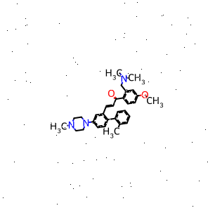 COc1ccc(C(=O)C=Cc2cc(N3CCN(C)CC3)ccc2-c2ccccc2C)c(CN(C)C)c1